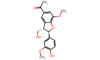 COc1cc([C@@H]2Oc3c(OC)cc(C(C)=O)cc3[C@H]2CO)ccc1O